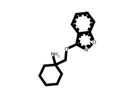 NC1(COc2noc3ccccc23)CCCCC1